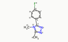 Cc1nnc(-c2ccc(F)cc2)n1C